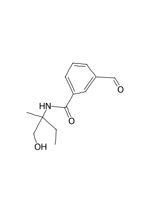 CCC(C)(CO)NC(=O)c1cccc(C=O)c1